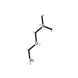 CC(C)COCN(C)C